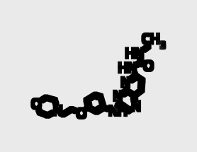 CCNC(=O)Nc1ccc2ncc(Nc3cccc(OCCN4CCOCC4)c3)nc2n1